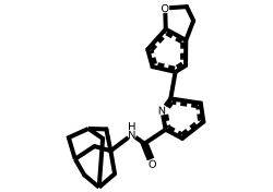 O=C(NC12CC3CC(CC(C3)C1)C2)c1cccc(-c2ccc3c(c2)CCO3)n1